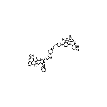 CCc1cccc2cc(O)cc(-c3ncc4c(C5CC6CCC(C5)N6)nc(OCC5(CN6CCC7(CC6)CC(CN6CCN(c8ccc9c(c8)C(C)(C)C(=O)N9C8CCC(=O)NC8=O)CC6)C7)CC5)nc4c3F)c12